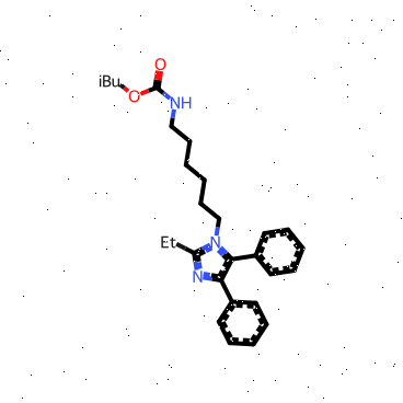 CCc1nc(-c2ccccc2)c(-c2ccccc2)n1CCCCCCNC(=O)OC(C)CC